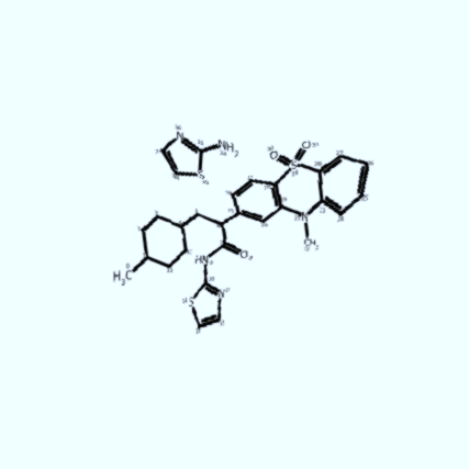 CC1CCC(CC(C(=O)Nc2nccs2)c2ccc3c(c2)N(C)c2ccccc2S3(=O)=O)CC1.Nc1nccs1